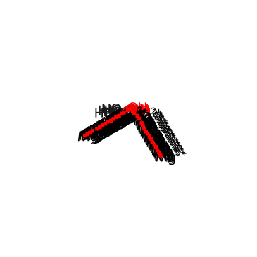 O=C(O)O.O=C(O)O.O=C(O)O.O=C(O)O.O=C(O)O.O=C(O)O.O=C(O)O.[Mg+2].[Mg+2].[Mg+2].[Mg+2].[Mg+2].[Mg+2].[Mg+2].[Mg+2].[Mg+2].[Mg+2].[Mg+2].[Mg+2].[Mg+2].[Mg+2].[Mg+2].[Mg+2].[Mg+2].[Mg+2].[Mg+2].[Mg+2].[Mg+2].[Mg+2].[Mg+2].[Mg+2].[Mg+2].[Mg+2].[Mg+2].[Mg+2].[Mg+2].[Mg+2].[Mg+2].[Mg+2].[Mg+2].[Mg+2].[Mg+2].[Mg+2].[Mg+2].[Mg+2].[Mg+2].[Mg+2].[Mg+2].[Mg+2].[Mg+2].[Mg+2].[Mg+2].[Mg+2].[Mg+2].[Mg+2].[Mg+2].[Mg+2].[Mg+2].[Mg+2].[Mg+2].[Mg+2].[Mg+2].[Mg+2].[Mg+2].[Mg+2].[Mg+2].[Mg+2].[Mg+2].[Mg+2]